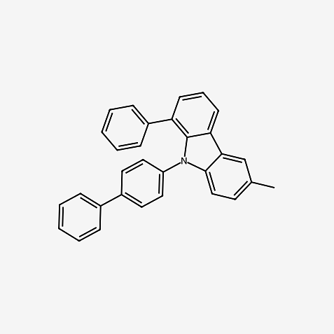 Cc1ccc2c(c1)c1cccc(-c3ccccc3)c1n2-c1ccc(-c2ccccc2)cc1